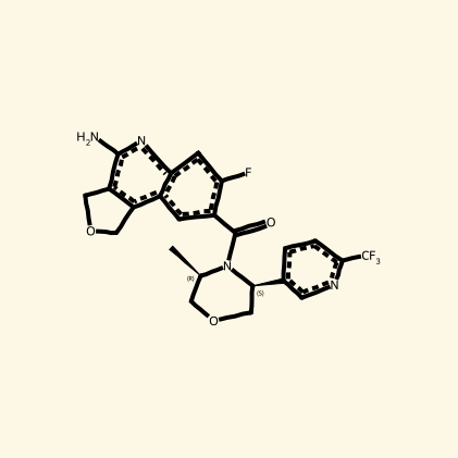 C[C@@H]1COC[C@H](c2ccc(C(F)(F)F)nc2)N1C(=O)c1cc2c3c(c(N)nc2cc1F)COC3